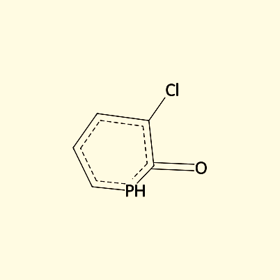 O=c1[pH]cccc1Cl